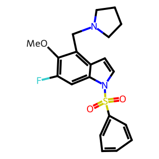 COc1c(F)cc2c(ccn2S(=O)(=O)c2ccccc2)c1CN1CCCC1